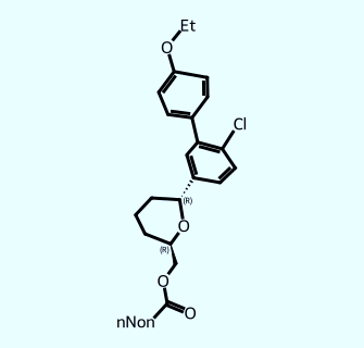 CCCCCCCCCC(=O)OC[C@H]1CCC[C@H](c2ccc(Cl)c(-c3ccc(OCC)cc3)c2)O1